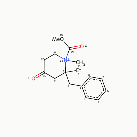 CCC1(Cc2ccccc2)CC(=O)CC[N+]1(C)C(=O)OC